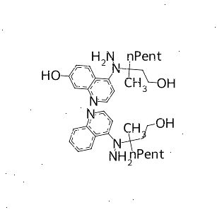 CCCCCC(C)(CCO)N(N)c1ccnc2cc(O)ccc12.CCCCCC(C)(CCO)N(N)c1ccnc2ccccc12